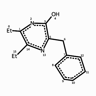 CCc1nc(O)c(Cc2ccccc2)nc1CC